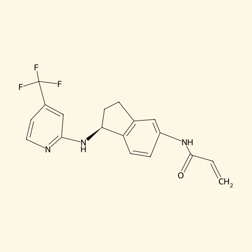 C=CC(=O)Nc1ccc2c(c1)CC[C@@H]2Nc1cc(C(F)(F)F)ccn1